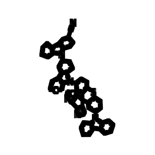 N#Cc1ccc2c(c1)c1ccccc1n2-c1ccc2c(c1)c1ccccc1n2-c1ccc2c(c1)C1(c3cc(-n4c5ccccc5c5ccccc54)ccc3S2)c2cccnc2-c2ncccc21